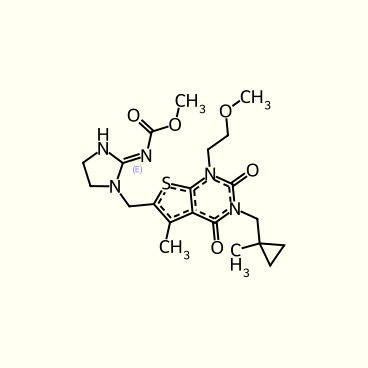 COCCn1c(=O)n(CC2(C)CC2)c(=O)c2c(C)c(CN3CCN/C3=N\C(=O)OC)sc21